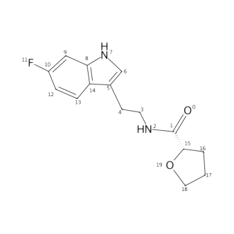 O=C(NCCc1c[nH]c2cc(F)ccc12)[C@@H]1CCCO1